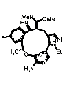 CCN/C1=C(\C=N)C/C(=C(/NC)OC)C(=N)c2ccc(F)cc2[C@@H](C)Oc2cc1cnc2N